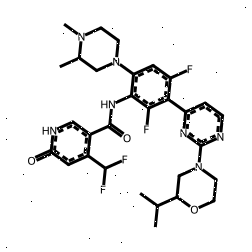 CC(C)C1CN(c2nccc(-c3c(F)cc(N4CCN(C)C(C)C4)c(NC(=O)c4c[nH]c(=O)cc4C(F)F)c3F)n2)CCO1